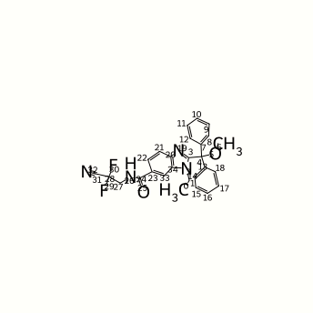 CCn1c(C(OC)(c2ccccc2)c2ccccc2)nc2ccc(C(=O)NCC(F)(F)C#N)cc21